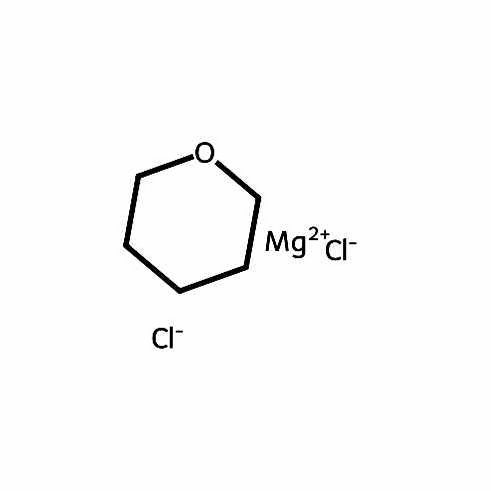 C1CCOCC1.[Cl-].[Cl-].[Mg+2]